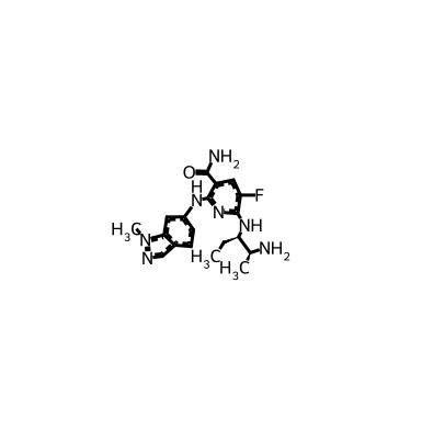 CC[C@@H](Nc1nc(Nc2ccc3cnn(C)c3c2)c(C(N)=O)cc1F)[C@H](C)N